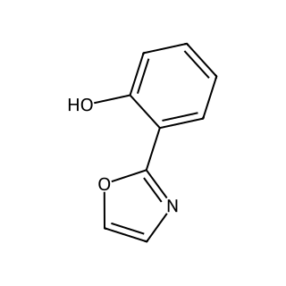 Oc1ccccc1-c1ncco1